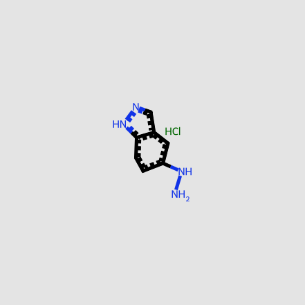 Cl.NNc1ccc2[nH]ncc2c1